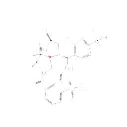 CS(=O)(=O)c1cccc(C(=O)N2[C@@H](C(=O)NC(c3ccc(C(F)(F)F)cc3F)[C@H]3CNC(=O)C3)C[C@H]3C[C@H]32)c1